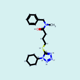 CN(Cc1ccccc1)C(=O)CCCSc1nnnn1C1CCCCC1